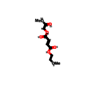 COCCOC(=O)/C=C/C(=O)OCC(=O)OC